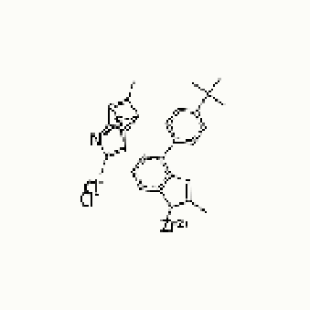 CC1=CC2=C3C(C)=C(C2=N1)[Si]3(C)C.CC1=Cc2c(-c3ccc(C(C)(C)C)cc3)cccc2[CH]1[Zr+2].[Cl-].[Cl-]